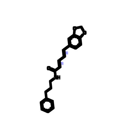 O=C(/C=C/C=C/c1ccc2c(c1)OCO2)NCCCc1ccccc1